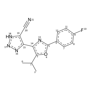 CC(C)c1oc(-c2ccc(F)cc2)nc1-c1nn[nH]c1C#N